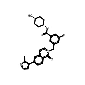 Cc1nocc1-c1ccc2c(=O)n(Cc3cc(F)cc(C(=O)N[C@H]4CC[C@H](O)CC4)c3)ccc2c1